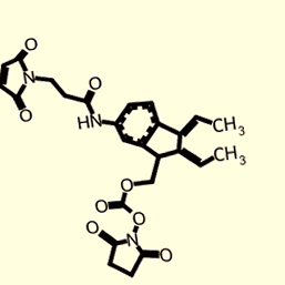 C/C=C1\C(=C/C)c2ccc(NC(=O)CCN3C(=O)C=CC3=O)cc2C1COC(=O)ON1C(=O)CCC1=O